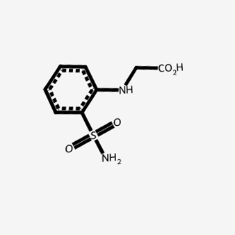 NS(=O)(=O)c1ccccc1NCC(=O)O